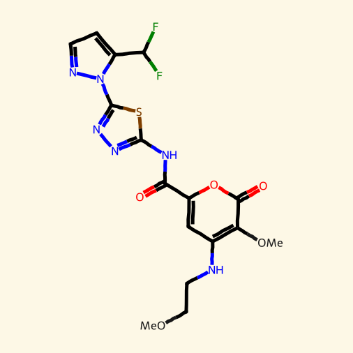 COCCNc1cc(C(=O)Nc2nnc(-n3nccc3C(F)F)s2)oc(=O)c1OC